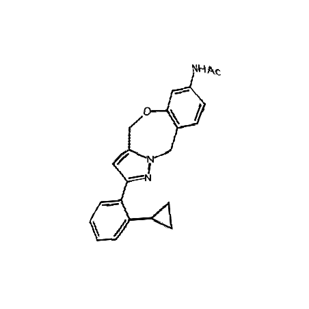 CC(=O)Nc1ccc2c(c1)OCc1cc(-c3ccccc3C3CC3)nn1C2